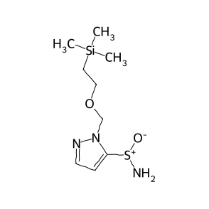 C[Si](C)(C)CCOCn1nccc1[S+](N)[O-]